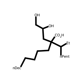 CCCCCCCCCCCCCCC(CC(O)CO)(C(=O)O)C(CC)CCCCC